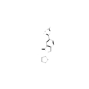 N[C@@H]1CCC[C@H]1N1Cc2ccc(-c3noc(C(F)(F)F)n3)cc2C1=O